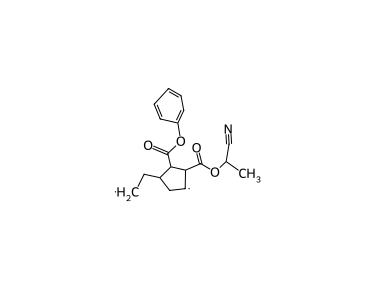 [CH2]CC1C[CH]C(C(=O)OC(C)C#N)C1C(=O)Oc1ccccc1